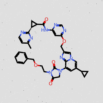 Cc1ccnc([C@H]2CC2C(=O)Nc2cc(OCc3cn4cc(C5CC5)cc(N5CC(=O)N(CCOCc6ccccc6)C5=O)c4n3)ncn2)n1